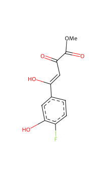 COC(=O)C(=O)C=C(O)c1ccc(F)c(O)c1